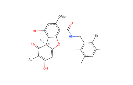 CCc1c(C)cc(C)c(C)c1CNC(=O)c1c(OC)cc(O)c2c1OC1=CC(O)=C(C(C)=O)C(=O)[C@]12C